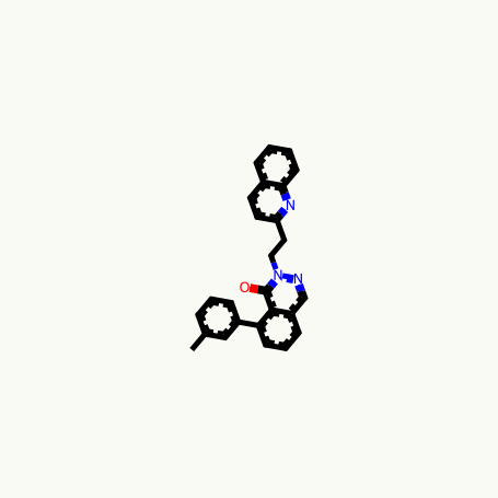 Cc1cccc(-c2cccc3cnn(CCc4ccc5ccccc5n4)c(=O)c23)c1